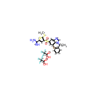 CSc1sc(C(=N)N)cc1S(=O)(=O)c1cc(Br)c2c(c1)ncn2[C@H](C)c1ccccc1.O=C(O)C(F)(F)F.O=C(O)C(F)(F)F